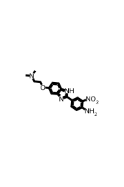 CN(C)CCOc1ccc2[nH]c(-c3ccc(N)c([N+](=O)[O-])c3)nc2c1